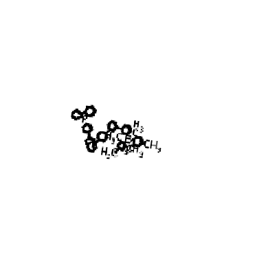 Cc1cc(C)c(B(c2cccc(-c3cccc(-c4ccc(C56CC7CC(C5)CC(c5ccc(-p8c9ccccc9c9ccccc98)cc5)(C7)C6)cc4)c3)c2)c2c(C)cc(C)cc2C)c(C)c1